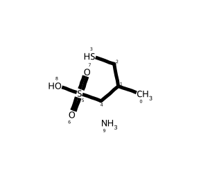 CC(CS)CS(=O)(=O)O.N